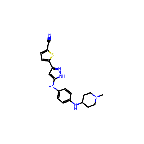 CN1CCC(Nc2ccc(Nc3cc(-c4ccc(C#N)s4)n[nH]3)cc2)CC1